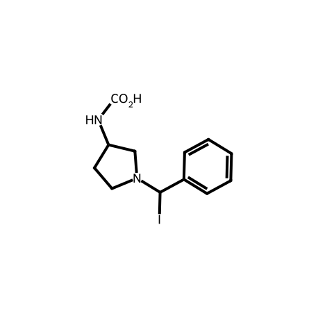 O=C(O)NC1CCN(C(I)c2ccccc2)C1